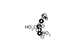 O=C(O)c1cn(-c2ccc(N3CCOC3=O)cc2)c(=O)n(Cc2cccc(Cl)c2[N+](=O)[O-])c1=O